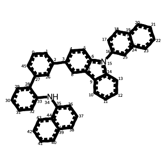 c1cc(-c2ccc3c(c2)c2ccccc2n3-c2ccc3ccccc3c2)cc(-c2ccccc2Nc2cccc3ccccc23)c1